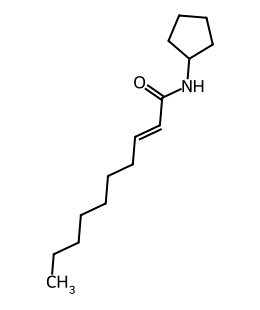 CCCCCCC/C=C/C(=O)NC1CCCC1